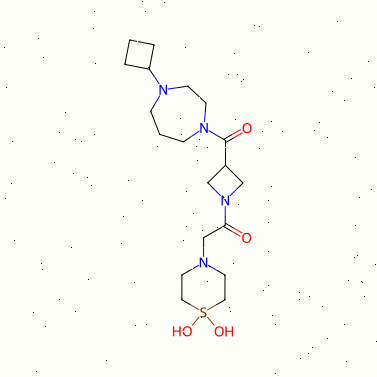 O=C(CN1CCS(O)(O)CC1)N1CC(C(=O)N2CCCN(C3CCC3)CC2)C1